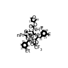 CCCC(CCC)S(=O)(=O)C[C@@H](NC(=O)O[C@@H]1CCOC1)C(=O)N[C@@H](Cc1cc(F)cc(F)c1)[C@@H](CNCc1cccc(CC)c1)OC(=O)C(F)(F)F